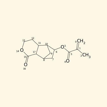 C=C(C)C(=O)OC1CC2CC1C1CCOC(=O)C21